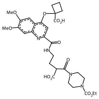 CCOC(=O)N1CCN(C(=O)C(CCNC(=O)c2cc(OC3(C(=O)O)CCC3)c3cc(OC)c(OC)cc3n2)C(=O)O)CC1